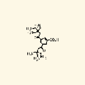 NCC(CN)(CN)CC(=O)c1cc(C(=O)O)cc(C(=O)CC(CN)(CN)CN)c1